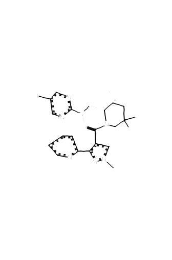 C[C@@H]1CC(F)(F)CN(C(=O)c2cn(C)nc2-c2ccccn2)[C@@H]1CNc1ncc(Cl)cn1